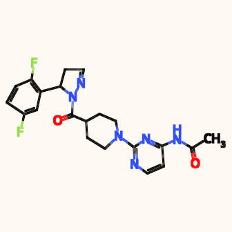 CC(=O)Nc1ccnc(N2CCC(C(=O)N3N=CCC3c3cc(F)ccc3F)CC2)n1